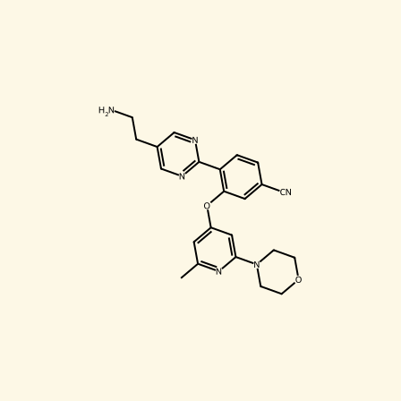 Cc1cc(Oc2cc(C#N)ccc2-c2ncc(CCN)cn2)cc(N2CCOCC2)n1